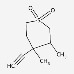 C#CC1(C)CCS(=O)(=O)CC1C